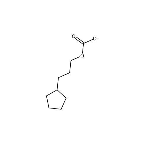 [O]C(=O)OCCCC1CCCC1